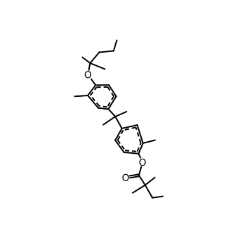 CCCC(C)(C)Oc1ccc(C(C)(C)c2ccc(OC(=O)C(C)(C)CC)c(C)c2)cc1C